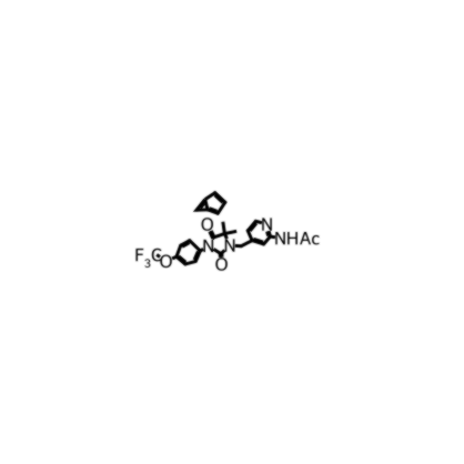 CC(=O)Nc1cc(CN2C(=O)N(c3ccc(OC(F)(F)F)cc3)C(=O)C2(C)C)ccn1.c1cc2cc-2c1